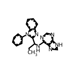 CCC(Nc1ncnc2[nH]cnc12)c1nc2ccccc2n1-c1ccccc1